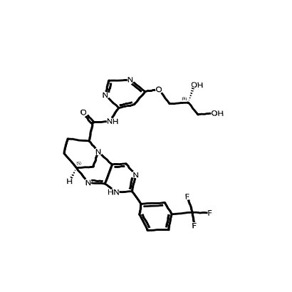 O=C(Nc1cc(OC[C@H](O)CO)ncn1)C1CC[C@H]2CN1C1=CN=C(c3cccc(C(F)(F)F)c3)NC1=N2